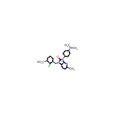 Cc1ccc2c(n1)n(-c1ccc(N(C)C)cc1)c(=O)n2Cc1cccc(C(=O)O)c1F